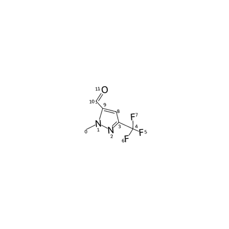 Cn1nc(C(F)(F)F)cc1[C]=O